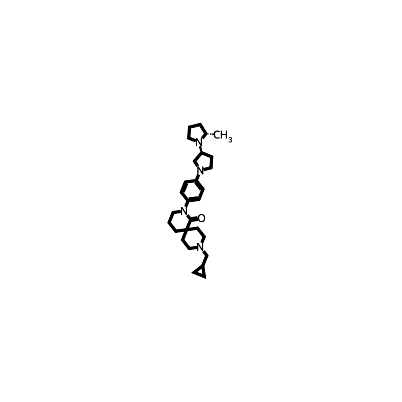 C[C@H]1CCCN1[C@H]1CCN(c2ccc(N3CCCC4(CCN(CC5CC5)CC4)C3=O)cc2)C1